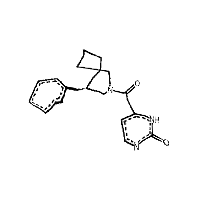 O=C(c1ccnc(=O)[nH]1)N1C[C@@H](c2ccccc2)C2(CCC2)C1